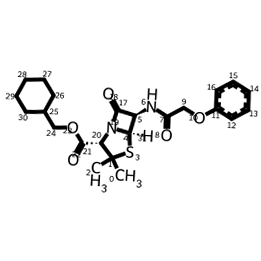 CC1(C)S[C@@H]2[C@H](NC(=O)COc3ccccc3)C(=O)N2[C@H]1C(=O)OCC1CCCCC1